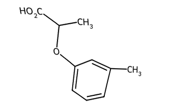 Cc1cccc(OC(C)C(=O)O)c1